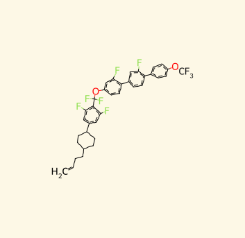 C=CCCC1CCC(c2cc(F)c(C(F)(F)Oc3ccc(-c4ccc(-c5ccc(OC(F)(F)F)cc5)c(F)c4)c(F)c3)c(F)c2)CC1